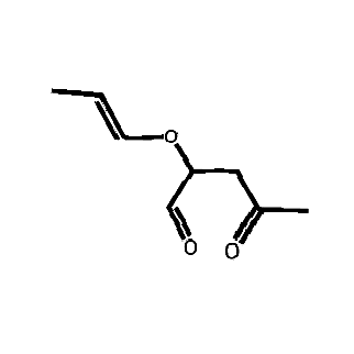 CC=COC(C=O)CC(C)=O